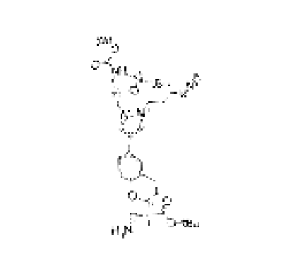 CC(C)(C)OC(=O)NC[C@@H](Cn1cc(-c2ccc3c(c2)CC[C@H](C(C)(ON)C(=O)OC(C)(C)C)O3)c[n+]1CCCN=[N+]=[N-])O[Si](C)(C)C(C)(C)C